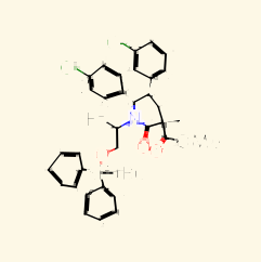 CCC(CO[Si](c1ccccc1)(c1ccccc1)C(C)(C)C)N1C(=O)[C@@](C)(C(=O)OC)C[C@H](c2cccc(Cl)c2)[C@H]1c1ccc(Cl)cc1